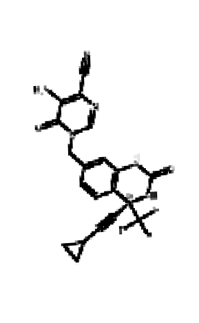 N#Cc1ncn(Cc2ccc3c(c2)NC(=O)N[C@]3(C#CC2CC2)C(F)(F)F)c(=O)c1N